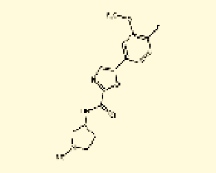 N#CN1CCC(NC(=O)c2ncc(-c3ccc(F)c(OC(F)(F)F)c3)o2)C1